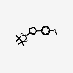 COc1ccc(C2C=C(B3OC(C)(C)C(C)(C)O3)CC2)cc1